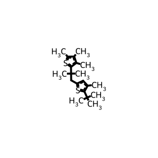 Cc1cc(CC(C)(C)c2sc(C)c(C)c2C)sc1C(C)(C)C